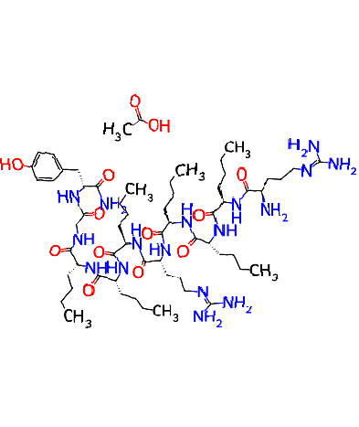 CC(=O)O.CCCC[C@@H](NC(=O)[C@H](N)CCCN=C(N)N)C(=O)N[C@H](CCCC)C(=O)N[C@H](CCCC)C(=O)N[C@H](CCCN=C(N)N)C(=O)N[C@H](CCCC)C(=O)N[C@H](CCCC)C(=O)N[C@H](CCCC)C(=O)NCC(=O)N[C@H](Cc1ccc(O)cc1)C(N)=O